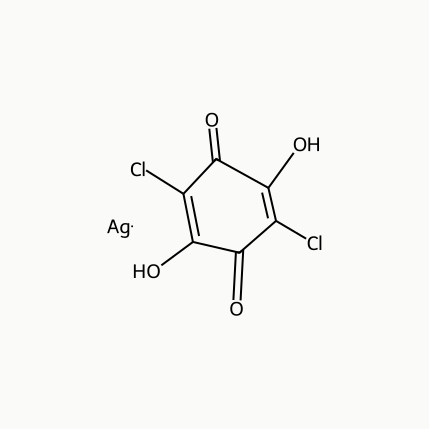 O=C1C(O)=C(Cl)C(=O)C(O)=C1Cl.[Ag]